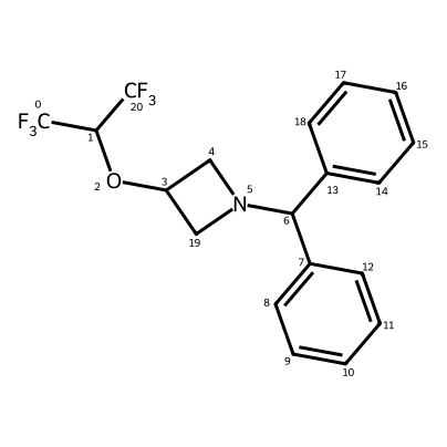 FC(F)(F)C(OC1CN(C(c2ccccc2)c2ccccc2)C1)C(F)(F)F